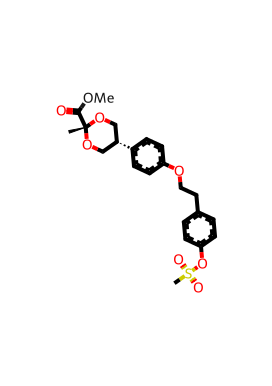 COC(=O)[C@]1(C)OC[C@H](c2ccc(OCCc3ccc(OS(C)(=O)=O)cc3)cc2)CO1